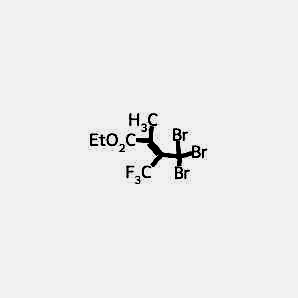 CCOC(=O)/C(C)=C(\C(F)(F)F)C(Br)(Br)Br